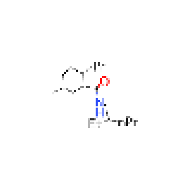 CCCC(CC)CNC(=O)C1CC(C)CCC1C(C)C